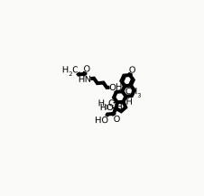 C=CC(=O)NCCCCOC1C[C@@]2(C)[C@@H](CC[C@]2(O)C(=O)CO)[C@@H]2CCC3=CC(=O)C=C[C@]3(C)[C@@H]12